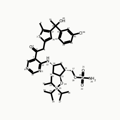 Cc1sc(CC(=O)c2cncnc2N[C@@H]2C[C@H](COS(N)(=O)=O)[C@@H](O[Si](C(C)C)(C(C)C)C(C)C)C2)cc1C(C)(O)c1cccc(Cl)c1